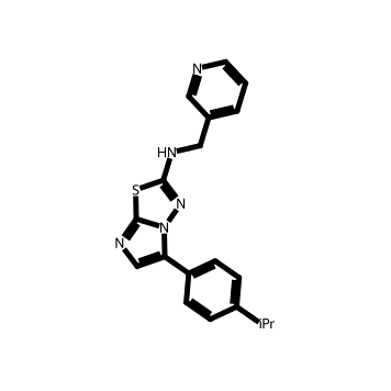 CC(C)c1ccc(-c2cnc3sc(NCc4cccnc4)nn23)cc1